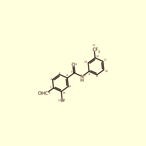 O=Cc1ccc(C(=O)Nc2cccc(C(F)(F)F)c2)cc1Br